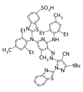 CCc1cc(C)cc(CC)c1Nc1nc(N(c2nc3ccc(S(=O)(=O)O)cc3s2)c2c(CC)cc(C)cc2CC)cc(C)c1N=Nc1c(C#N)c(C(C)(C)C)nn1-c1nc2ccccc2s1